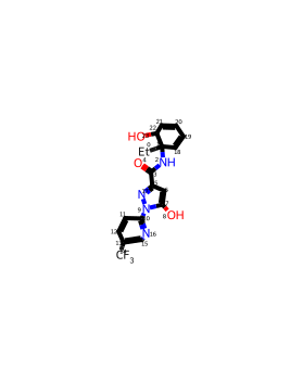 CCC1(NC(=O)c2cc(O)n(-c3ccc(C(F)(F)F)cn3)n2)C=CC=CC1O